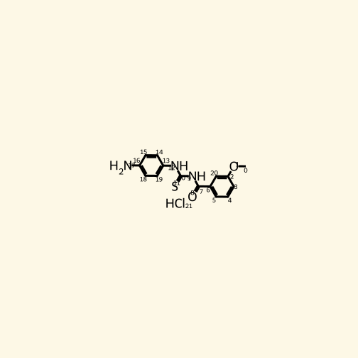 COc1cccc(C(=O)NC(=S)Nc2ccc(N)cc2)c1.Cl